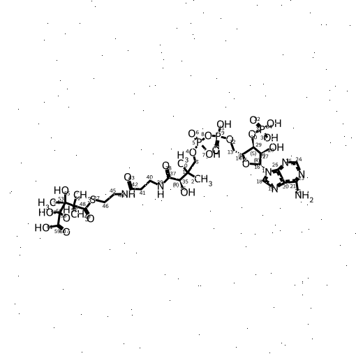 CC(C)(COP(=O)(O)OP(=O)(O)OC[C@H]1O[C@@H](n2cnc3c(N)ncnc32)[C@H](O)[C@@H]1OP(=O)(O)O)[C@@H](O)C(=O)NCCC(=O)NCCSC(=O)C(C)(C)C(C)(O)C(O)(O)C(=O)O